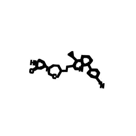 N#Cc1ccc(-c2cccc3c(C4CC4)c(CCC4CCCN(c5cc[nH]c(=O)c5)CC4)cnc23)cc1